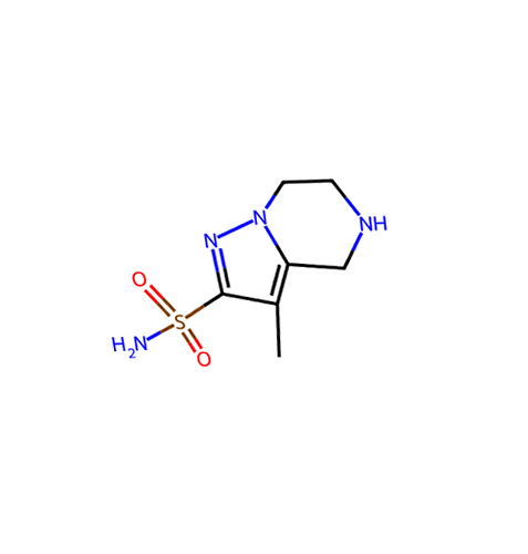 Cc1c(S(N)(=O)=O)nn2c1CNCC2